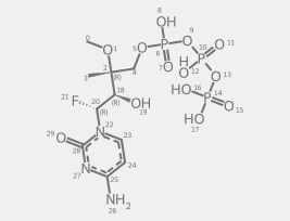 CO[C@](C)(COP(=O)(O)OP(=O)(O)OP(=O)(O)O)[C@@H](O)[C@@H](F)n1ccc(N)nc1=O